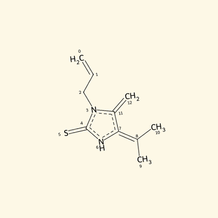 C=CCn1c(=S)[nH]c(=C(C)C)c1=C